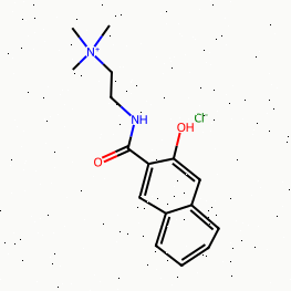 C[N+](C)(C)CCNC(=O)c1cc2ccccc2cc1O.[Cl-]